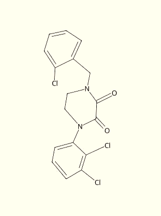 O=C1C(=O)N(c2cccc(Cl)c2Cl)CCN1Cc1ccccc1Cl